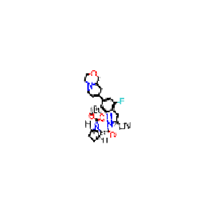 CC(C)(C)OC(=O)N1[C@@H]2CC[C@@H](C2)[C@H]1C(=O)N[C@H](C#N)Cc1ccc(C2=CCN3CCOCC3C2)cc1F